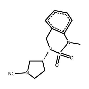 CN1c2ccccc2CN([C@@H]2CCN(C#N)C2)S1(=O)=O